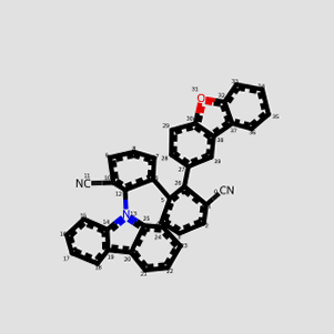 N#Cc1cccc(-c2cccc(C#N)c2-n2c3ccccc3c3ccccc32)c1-c1ccc2oc3ccccc3c2c1